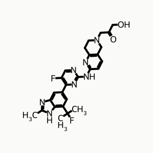 Cc1nc2cc(-c3nc(Nc4ccc5c(n4)CCN(CC(=O)CO)C5)ncc3F)cc(C(C)(C)F)c2[nH]1